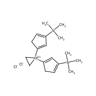 C[Si](C)(C)C1=CC[C]([Hf+2]2([C]3=CC([Si](C)(C)C)=CC3)[CH2][CH2]2)=C1.[Cl-].[Cl-]